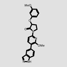 COc1cccc(OC2CCN(c3ccc(-c4ccc5[nH]ncc5c4)c(OC)n3)C2=O)c1